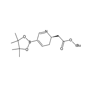 CC(C)(C)OC(=O)C[C@H]1CC=C(B2OC(C)(C)C(C)(C)O2)C=N1